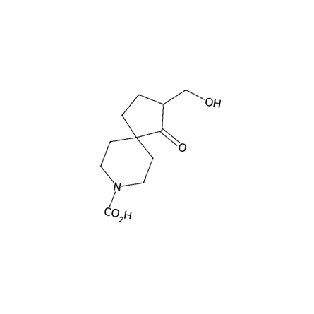 O=C(O)N1CCC2(CCC(CO)C2=O)CC1